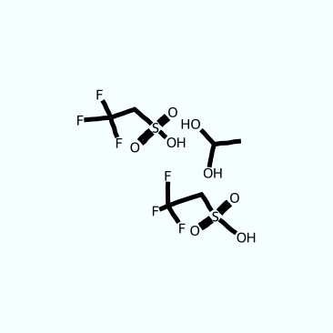 CC(O)O.O=S(=O)(O)CC(F)(F)F.O=S(=O)(O)CC(F)(F)F